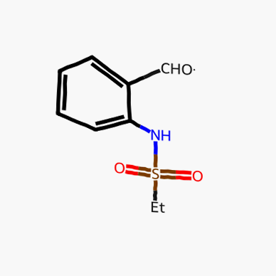 CCS(=O)(=O)Nc1ccccc1[C]=O